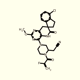 C=C(F)C(=O)N1CCN(c2nc(OC)nc3c2NC(=O)C2(CCc4c(Cl)cccc42)C3)CC1CC#N